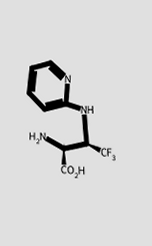 N[C@H](C(=O)O)[C@@H](Nc1ccccn1)C(F)(F)F